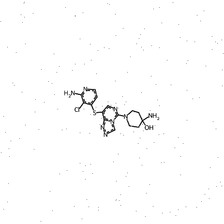 Nc1nccc(Sc2cnc(N3CCC(N)(O)CC3)n3cnnc23)c1Cl